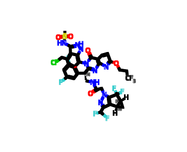 CS(=O)(=O)Nc1n[nH]c2c(-n3c([C@H](CNC(=O)Cn4nc(C(F)F)c5c4C(F)(F)[C@@H]4C[C@H]54)c4cc(F)cc(F)c4)nc4nc(OCCC(F)(F)F)ccc4c3=O)ccc(CCl)c12